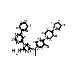 Cc1cc(Nc2nc(N)n(-c3cc(-c4ccccc4)ncn3)n2)cnc1N1CCC(N2CCCC2)CC1